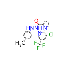 Cc1ccc(NNC(=O)c2cccn2-c2ncc(C(F)(F)F)cc2Cl)cc1